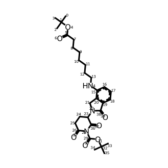 CC(C)(C)OC(=O)CCCCCCCNc1cccc2c1CN(C1CCC(=O)N(C(=O)OC(C)(C)C)C1=O)C2=O